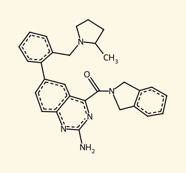 CC1CCCN1Cc1ccccc1-c1ccc2nc(N)nc(C(=O)N3Cc4ccccc4C3)c2c1